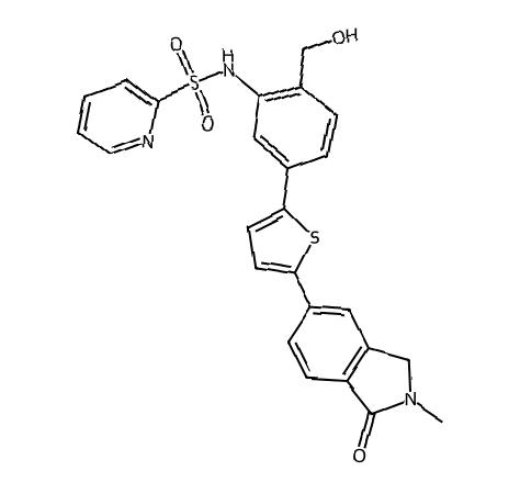 CN1Cc2cc(-c3ccc(-c4ccc(CO)c(NS(=O)(=O)c5ccccn5)c4)s3)ccc2C1=O